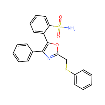 NS(=O)(=O)c1ccccc1-c1oc(CSc2ccccc2)nc1-c1ccccc1